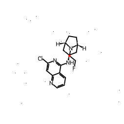 FCCN1[C@@H]2CC[C@H]1C[C@H](Nc1nc(Cl)cc3ncccc13)C2